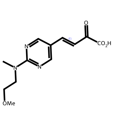 COCCN(C)c1ncc(/C=C/C(=O)C(=O)O)cn1